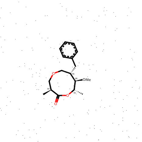 CO[C@@H]1[C@@H](Cc2ccccc2)COC[C@H](C)C(=O)O[C@H]1C